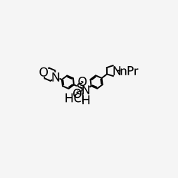 CCCN1CCC(c2ccc(NS(=O)(=O)c3ccc(N4CCOCC4)cc3)cc2)C1.Cl